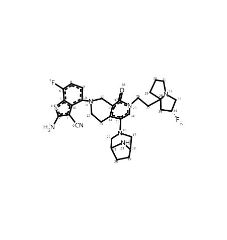 N#Cc1c(N)sc2c(F)ccc(N3CCc4c(N5CC6CCC(C5)N6)cn(CCC56CCCN5C[C@H](F)C6)c(=O)c4C3)c12